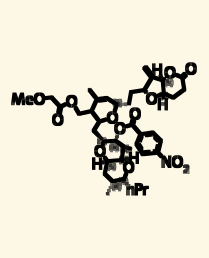 C=C1C(CC[C@H]2C=C(C)C(COC(=O)COC)C(C[C@@H]3O[C@H]4C[C@@H](C)[C@@H](CCC)O[C@H]4[C@H](C)[C@H]3OC(=O)c3ccc([N+](=O)[O-])cc3)O2)O[C@H]2CCC(=O)O[C@@H]12